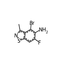 Cc1nsc2cc(F)c(N)c(Br)c12